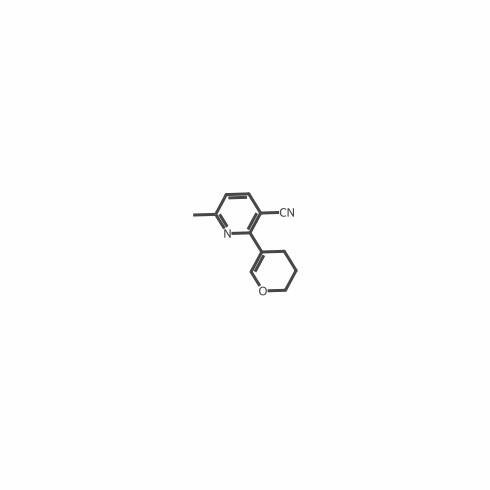 Cc1ccc(C#N)c(C2=COCCC2)n1